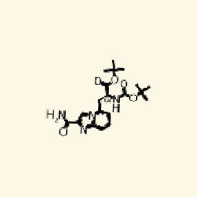 CC(C)(C)OC(=O)N[C@@H](Cc1cccc2nc(C(N)=O)cn12)C(=O)OC(C)(C)C